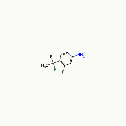 CC(F)(F)c1ccc(N)cc1F